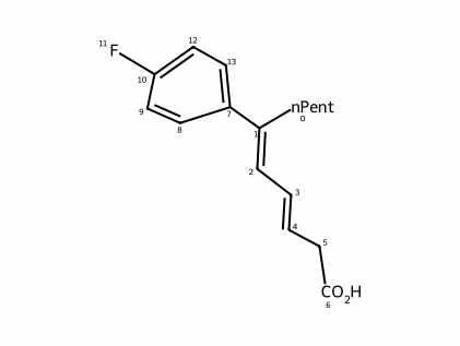 CCCCC/C(=C\C=C\CC(=O)O)c1ccc(F)cc1